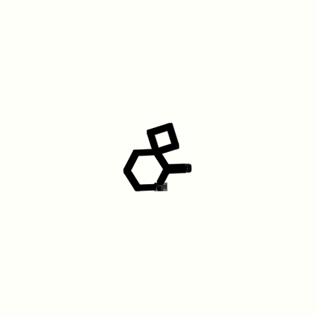 O=C1NCCCC12CCC2